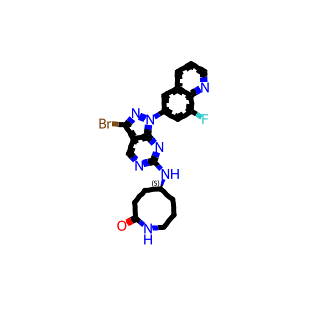 O=C1CC[C@@H](Nc2ncc3c(Br)nn(-c4cc(F)c5ncccc5c4)c3n2)CCCN1